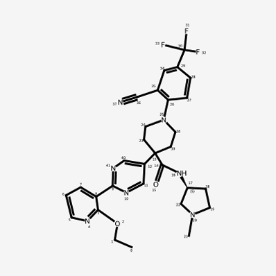 CCOc1ncccc1-c1ncc(C2(C(=O)N[C@H]3CCN(C)C3)CCN(c3ccc(C(F)(F)F)cc3C#N)CC2)cn1